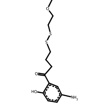 COCCSSCCCC(=O)c1cc(N)ccc1O